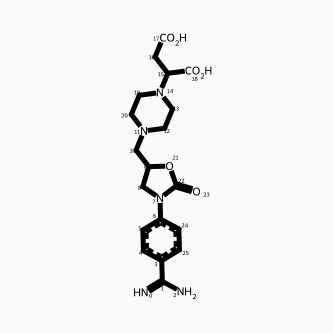 N=C(N)c1ccc(N2CC(CN3CCN(C(CC(=O)O)C(=O)O)CC3)OC2=O)cc1